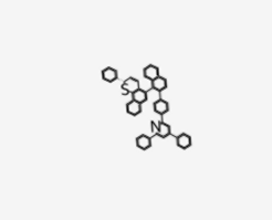 C1=C[C@@H](c2ccccc2)Sc2c1c(-c1c(-c3ccc(-c4cc(-c5ccccc5)cc(-c5ccccc5)n4)cc3)ccc3ccccc13)cc1ccccc21